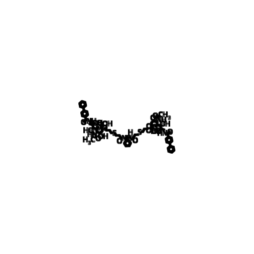 CC(=O)N[C@H]1C([C@H](O)C(O)CNC(=O)c2ccc(-c3ccccc3)cc2)O[C@@](OCCCSCCC(=O)Nc2ccccc2NC(=O)CCSCCCO[C@]2(C(=O)O)C[C@H](O)[C@@H](NC(C)=O)C([C@H](O)[C@H](O)CNC(=O)c3ccc(-c4ccccc4)cc3)O2)(C(=O)O)C[C@@H]1O